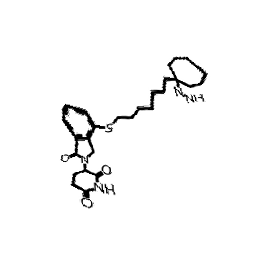 N=NC1(CCCCCCCSc2cccc3c2CN(C2CCC(=O)NC2=O)C3=O)CCCCCCC1